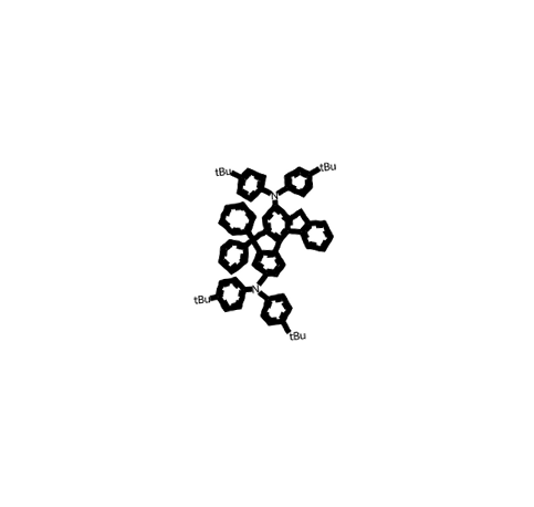 CC(C)(C)c1ccc(N(c2ccc(C(C)(C)C)cc2)c2ccc3c(c2)C(c2ccccc2)(c2ccccc2)c2cc(N(c4ccc(C(C)(C)C)cc4)c4ccc(C(C)(C)C)cc4)c4c(c2-3)-c2ccccc2C4)cc1